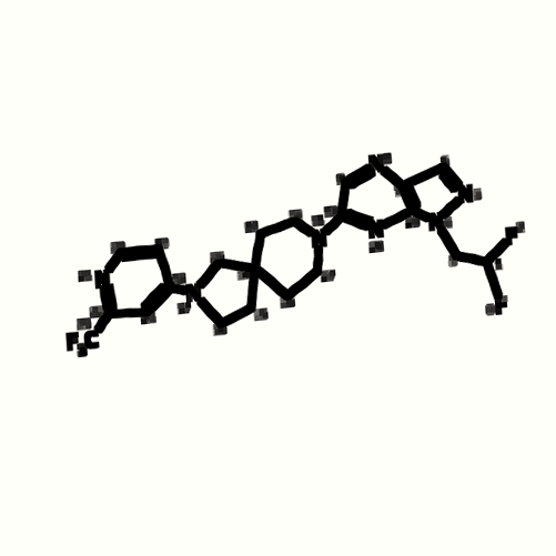 FC(F)Cn1ncc2ncc(N3CCC4(CCN(c5ccnc(C(F)(F)F)c5)C4)CC3)nc21